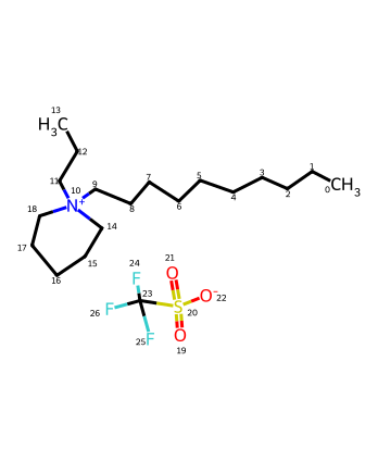 CCCCCCCCCC[N+]1(CCC)CCCCC1.O=S(=O)([O-])C(F)(F)F